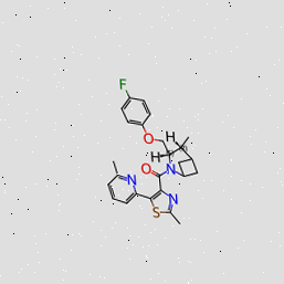 Cc1cccc(-c2sc(C)nc2C(=O)N2C3CC(C3)[C@@H](C)[C@H]2COc2ccc(F)cc2)n1